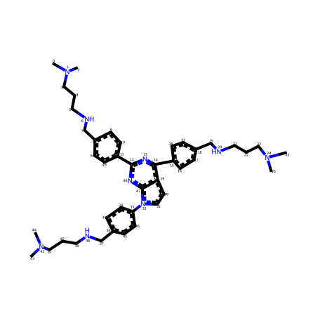 CN(C)CCCNCc1ccc(-c2nc(-c3ccc(CNCCCN(C)C)cc3)c3ccn(-c4ccc(CNCCCN(C)C)cc4)c3n2)cc1